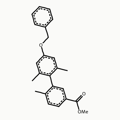 COC(=O)c1ccc(C)c(-c2c(C)cc(OCc3ccccc3)cc2C)c1